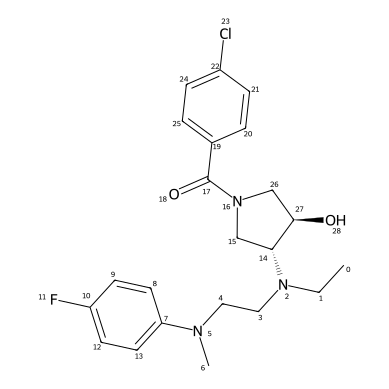 CCN(CCN(C)c1ccc(F)cc1)[C@@H]1CN(C(=O)c2ccc(Cl)cc2)C[C@H]1O